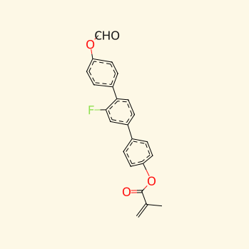 C=C(C)C(=O)Oc1ccc(-c2ccc(-c3ccc(OC=O)cc3)c(F)c2)cc1